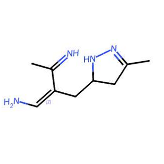 CC(=N)/C(=C\N)CC1CC(C)=NN1